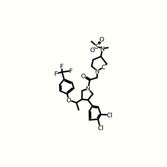 CC(Oc1ccc(C(F)(F)F)cc1)C1CN(C(=O)CN2CCC(N(C)S(C)(=O)=O)CC2)CC1c1ccc(Cl)c(Cl)c1